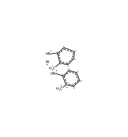 CCCCc1ccccc1C.CCCCc1ccccc1C.[Ni]